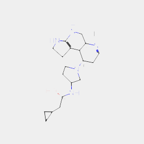 O[C@H](CC1CC1)NC1CCN([C@@H]2CC=N[C@@H]3CNC4=C(CCN4)C23)C1